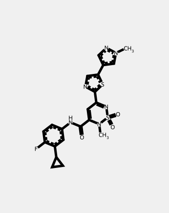 CN1C(C(=O)Nc2ccc(F)c(C3CC3)c2)=CC(c2ncc(-c3cnn(C)c3)s2)=NS1(=O)=O